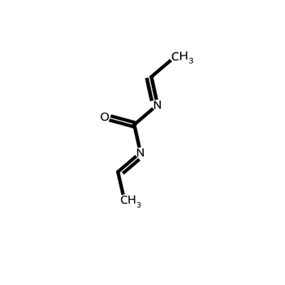 CC=NC(=O)N=CC